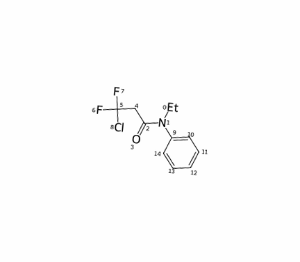 CCN(C(=O)CC(F)(F)Cl)c1ccccc1